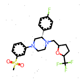 CS(=O)(=O)c1cccc(N2CCN(CC3CCC(C(F)(F)F)O3)[C@@H](c3ccc(F)cc3)C2)c1